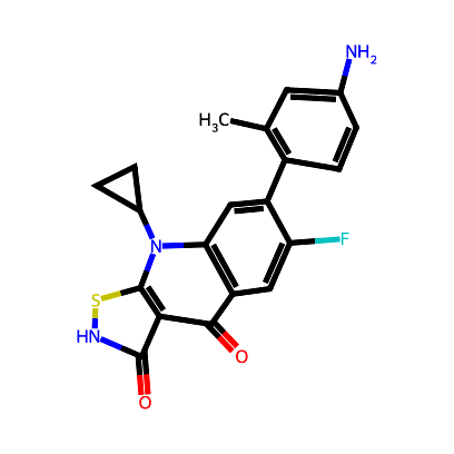 Cc1cc(N)ccc1-c1cc2c(cc1F)c(=O)c1c(=O)[nH]sc1n2C1CC1